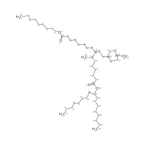 CCCCCCCCCOC(=O)CCCCCCCN(CCN1CCN(C)CC1)C(C)CCCCCC(=O)OC(CCCCCCCC)CCCCCCCC